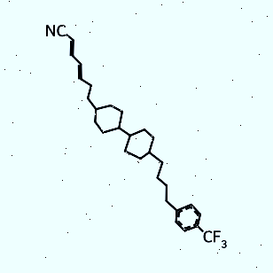 N#CC=CC=CCCC1CCC(C2CCC(CCCCc3ccc(C(F)(F)F)cc3)CC2)CC1